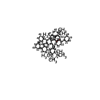 CC1(C)CCC(C)(C)c2cc(N(c3ccc(-c4ccccc4)cc3)c3cc4c(cc3-c3cccc5c3C(C)(C)CCC5(C)C)-c3ccccc3C4(c3ccccc3)c3ccccc3)ccc21